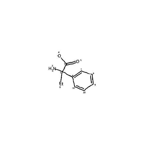 CCC(N)(C([O])=O)c1ccccc1